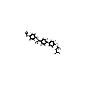 CC(C)CC(C)Oc1ccc(-c2ccc(C(=O)Oc3ccc(N=O)cc3)cc2)cc1